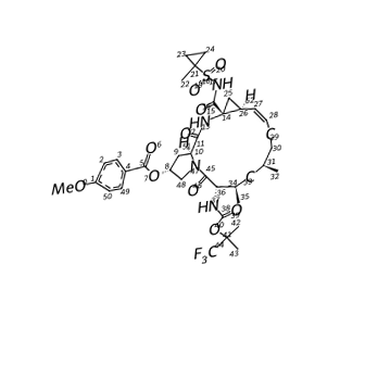 COc1ccc(C(=O)O[C@@H]2C[C@H]3C(=O)N[C@]4(C(=O)NS(=O)(=O)C5(C)CC5)C[C@H]4C=CCC[C@@H](C)C[C@@H](C)[C@H](NC(=O)OC(C)(C)C(F)(F)F)C(=O)N3C2)cc1